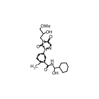 COCC(O)Cn1c(=O)cnn(-c2ccc(C)c(C(=O)NC(O)C3CCCCC3)c2)c1=O